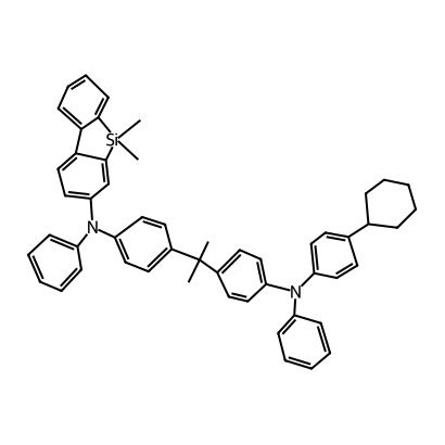 CC(C)(c1ccc(N(c2ccccc2)c2ccc(C3CCCCC3)cc2)cc1)c1ccc(N(c2ccccc2)c2ccc3c(c2)[Si](C)(C)c2ccccc2-3)cc1